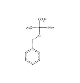 CCCCCCC(OCc1ccccc1)(OC(C)=O)C(=O)O